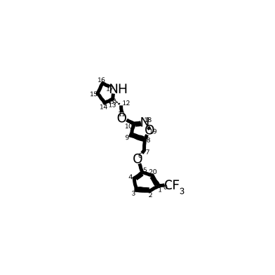 FC(F)(F)c1cccc(OCc2cc(OC[C@@H]3CCCN3)no2)c1